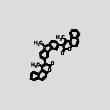 Cc1c(-c2ccc3c(c2)c2cc(-c4c(C)c5c(ccc6ccccc65)oc4=O)ccc2n3C)c(=O)oc2ccc3ccccc3c12